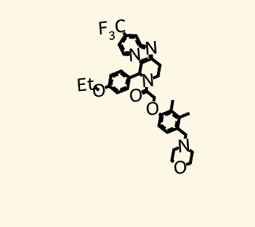 CCOc1ccc(C2c3c(nc4cc(C(F)(F)F)ccn34)CCN2C(=O)COc2ccc(CN3CCOCC3)c(C)c2C)cc1